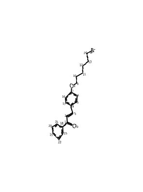 O=C(C=Cc1ccc(OCCCCCCBr)cc1)c1ccccc1